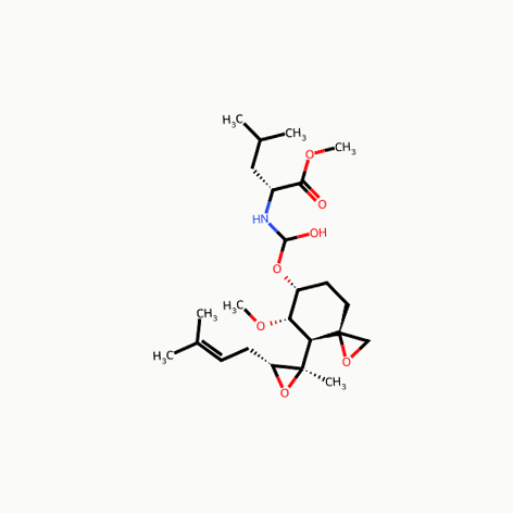 COC(=O)[C@@H](CC(C)C)NC(O)O[C@@H]1CC[C@]2(CO2)[C@@H]([C@@]2(C)O[C@@H]2CC=C(C)C)[C@@H]1OC